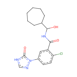 O=C(NC(O)C1CCCCCC1)c1cc(-n2nc[nH]c2=O)ccc1Cl